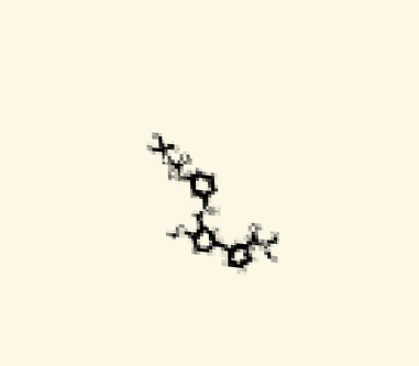 COC1=C(CNc2cccc(NC(=O)OC(C)(C)C)c2)C=C(c2cccc(C(=O)N(C)C)c2)CC1